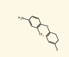 Nc1ccc(OC2=CC=C(F)CC2)c(C(F)(F)F)c1